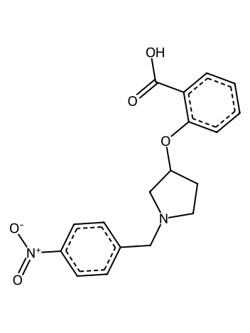 O=C(O)c1ccccc1OC1CCN(Cc2ccc([N+](=O)[O-])cc2)C1